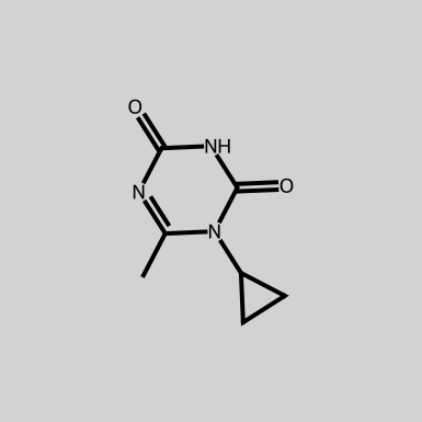 Cc1nc(=O)[nH]c(=O)n1C1CC1